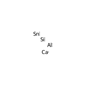 [Al].[Ca].[Si].[Sn]